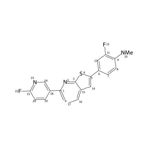 C=C(/N=C1/SC(c2ccc(NC)c(F)c2)=C/C1=C/C)c1ccc(F)nc1